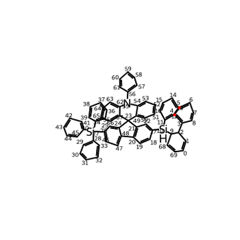 C1=CC(c2ccccc2)C([SiH](c2ccccc2)c2ccc3c(c2)C2(c4cc([Si](c5ccccc5)(c5ccccc5)c5ccccc5)ccc4-3)c3ccccc3N(c3ccccc3)c3ccccc32)C=C1